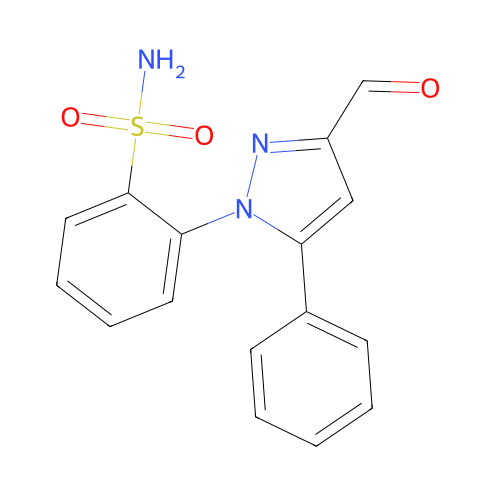 NS(=O)(=O)c1ccccc1-n1nc(C=O)cc1-c1ccccc1